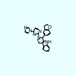 c1ccc2c3c([nH]c2c1)C(c1ccc2c(c1)CCO2)N(c1nccc(-n2ccnc2)n1)CC3